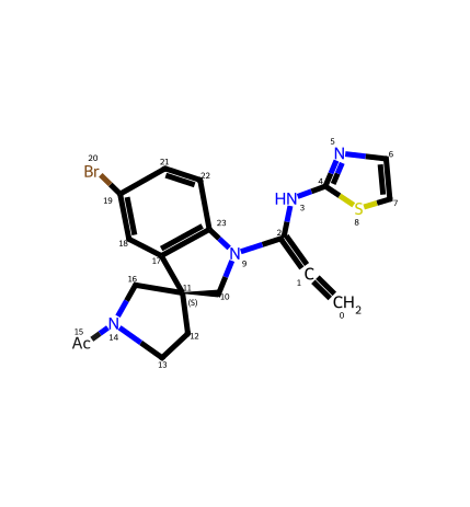 C=C=C(Nc1nccs1)N1C[C@]2(CCN(C(C)=O)C2)c2cc(Br)ccc21